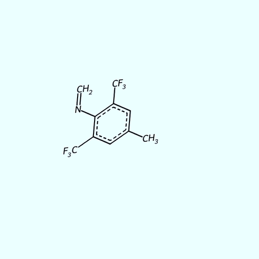 C=Nc1c(C(F)(F)F)cc(C)cc1C(F)(F)F